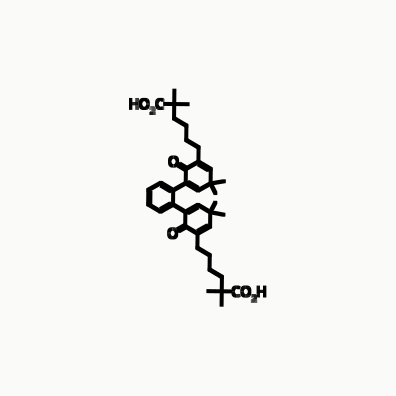 CC1(C)C=C(CCCCC(C)(C)C(=O)O)C(=O)C(c2ccccc2C2=CC(C)(C)C=C(CCCCC(C)(C)C(=O)O)C2=O)=C1